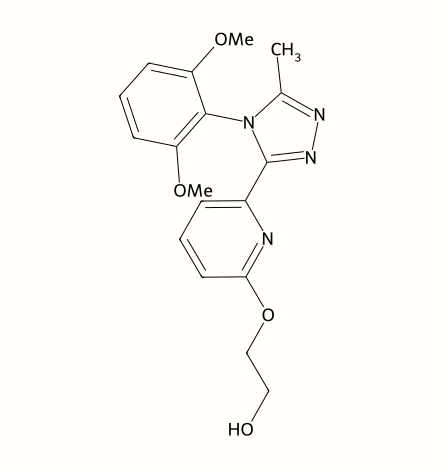 COc1cccc(OC)c1-n1c(C)nnc1-c1cccc(OCCO)n1